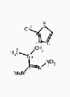 CNC(=N[N+](=O)[O-])N(C)C.Clc1nccs1